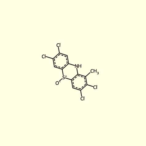 Cc1c(Cl)c(Cl)cc2c1Nc1cc(Cl)c(Cl)cc1[S+]2[O-]